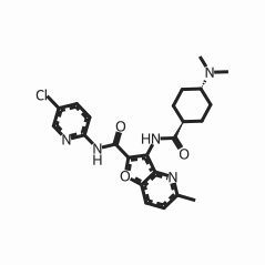 Cc1ccc2oc(C(=O)Nc3ccc(Cl)cn3)c(NC(=O)[C@H]3CC[C@H](N(C)C)CC3)c2n1